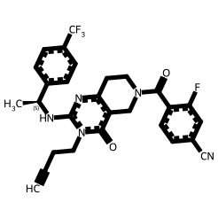 C#CCCn1c(N[C@@H](C)c2ccc(C(F)(F)F)cc2)nc2c(c1=O)CN(C(=O)c1ccc(C#N)cc1F)CC2